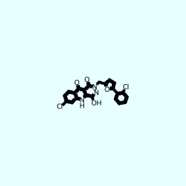 O=c1c2ccc(Cl)cc2[nH]c2c(O)nn(Cc3ccc(-c4ccccc4Cl)o3)c(=O)c12